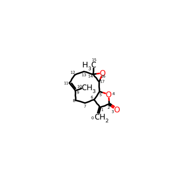 C=C1C(=O)OC2C1CC/C(C)=C/CCC1(C)OC21